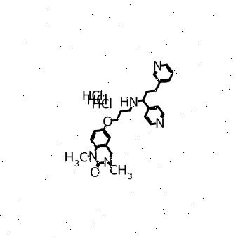 CN1Cc2cc(OCCCNC(CCc3cccnc3)c3ccncc3)ccc2N(C)C1=O.Cl.Cl.Cl